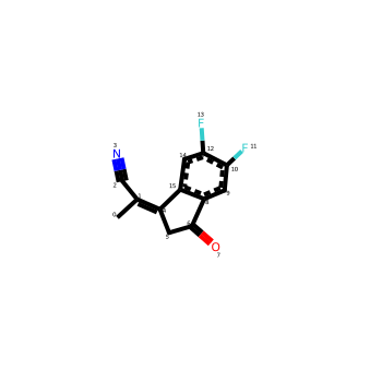 CC(C#N)=C1CC(=O)c2cc(F)c(F)cc21